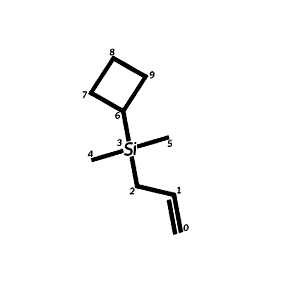 C=CC[Si](C)(C)C1CCC1